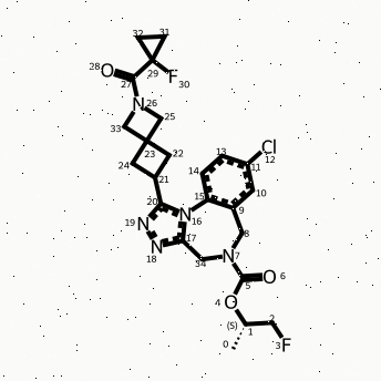 C[C@@H](CF)OC(=O)N1Cc2cc(Cl)ccc2-n2c(nnc2C2CC3(C2)CN(C(=O)C2(F)CC2)C3)C1